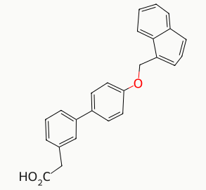 O=C(O)Cc1cccc(-c2ccc(OCc3cccc4ccccc34)cc2)c1